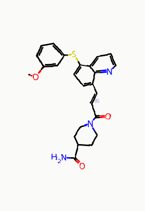 COc1cccc(Sc2ccc(/C=C/C(=O)N3CCC(C(N)=O)CC3)c3ncccc23)c1